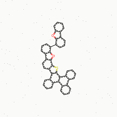 c1ccc2c(c1)oc1c(-c3cccc4c3oc3c4ccc4c3sc3c4c4ccccc4c4c5ccccc5c5ccccc5c34)cccc12